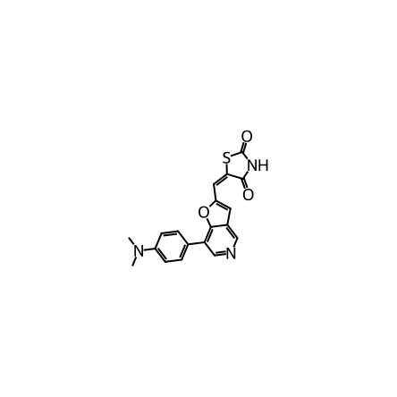 CN(C)c1ccc(-c2cncc3cc(C=C4SC(=O)NC4=O)oc23)cc1